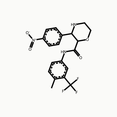 Cc1ccc(NC(=O)C2OCCNC2c2ccc([N+](=O)[O-])cc2)cc1C(F)(F)F